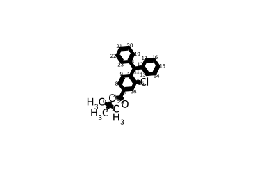 CC(C)(C)OC(=O)c1ccc([C](c2ccccc2)c2ccccc2)c(Cl)c1